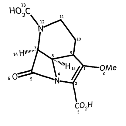 COC1=C(C(=O)O)N2C(=O)[C@@H]3[C@H]2C1CCN3C(=O)O